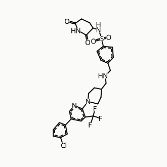 O=C1CCC(NS(=O)(=O)c2ccc(CNCC3CCN(c4ncc(-c5cccc(Cl)c5)cc4C(F)(F)F)CC3)cc2)C(=O)N1